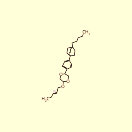 CC/C=C/COC1COC(c2ccc(C34CCC(CCCCC)(CC3)CC4)cc2)CO1